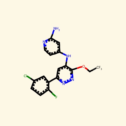 Nc1cc(Nc2cc(-c3cc(Cl)ccc3F)nnc2OCC(F)(F)F)ccn1